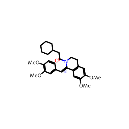 COc1ccc(/C=C2/c3cc(OC)c(OC)cc3CCN2C(=O)CC2CCCCC2)cc1OC